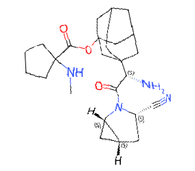 CNC1(C(=O)OC23CC4CC(C2)CC([C@H](N)C(=O)N2[C@H](C#N)C[C@@H]5C[C@@H]52)(C4)C3)CCCC1